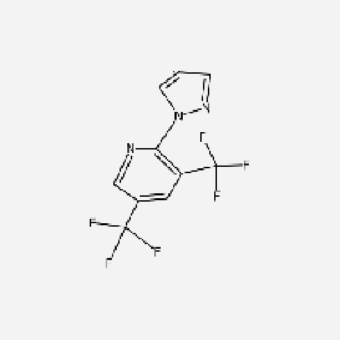 FC(F)(F)c1cnc(-n2c[c]cn2)c(C(F)(F)F)c1